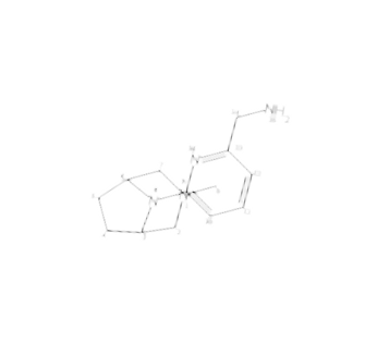 CN1CC2CCC(C1)N2c1cccc(CN)n1